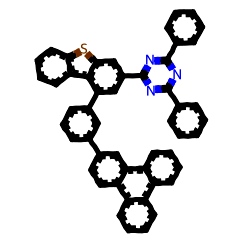 c1ccc(-c2nc(-c3ccccc3)nc(-c3cc(-c4cccc(-c5ccc6c7ccccc7c7ccccc7c6c5)c4)c4c(c3)sc3ccccc34)n2)cc1